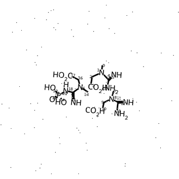 CN(CC(=O)O)C(=N)N.CN(CC(=O)O)C(=N)N.CN(CC(=O)O)C(=N)NP(=O)(O)O